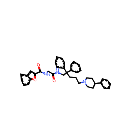 O=C(CNC(=O)c1cc2ccccc2o1)NCC(CCCN1CCC(c2ccccc2)CC1)(c1ccccc1)c1ccccc1